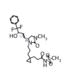 CN1C[C@H](/C=C/C(O)C(F)(F)c2ccccc2)N(CCCC2(CCC(=O)NS(C)(=O)=O)CC2)C1=O